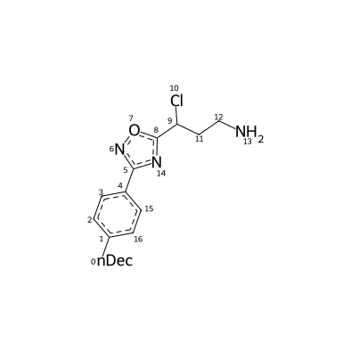 CCCCCCCCCCc1ccc(-c2noc(C(Cl)CCN)n2)cc1